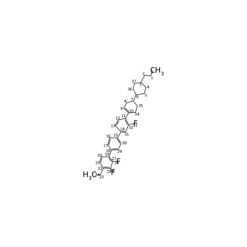 CCCC1CCC(C2CC=C(c3ccc(-c4ccc(-c5ccc(CC)c(F)c5F)cc4)cc3F)CC2)CC1